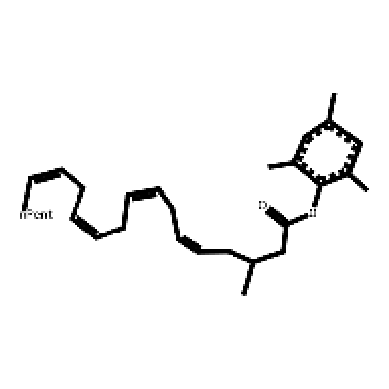 CCCCC/C=C\C/C=C\C/C=C\C/C=C\CC(C)CC(=O)Oc1c(C)cc(C)cc1C